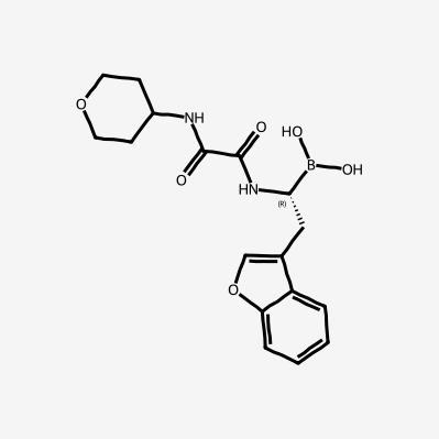 O=C(NC1CCOCC1)C(=O)N[C@@H](Cc1coc2ccccc12)B(O)O